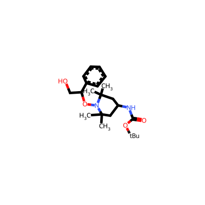 CC(C)(C)OC(=O)NC1CC(C)(C)N(OC(CO)c2ccccc2)C(C)(C)C1